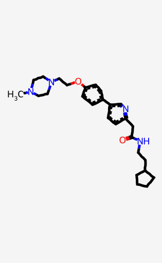 CN1CCN(CCOc2ccc(-c3ccc(CC(=O)NCCC4CCCC4)nc3)cc2)CC1